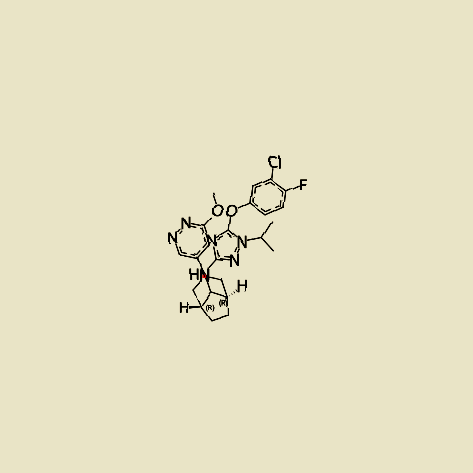 COc1cc(N2C[C@H]3CC[C@H](C2)C3Nc2nc(Oc3ccc(F)c(Cl)c3)n(C(C)C)n2)cnn1